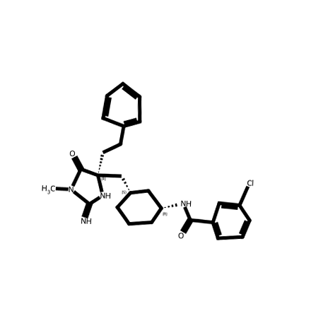 CN1C(=N)N[C@](CCc2ccccc2)(C[C@H]2CCC[C@@H](NC(=O)c3cccc(Cl)c3)C2)C1=O